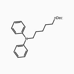 [CH2]CCCCCCCCCCCCCCN(c1ccccc1)c1ccccc1